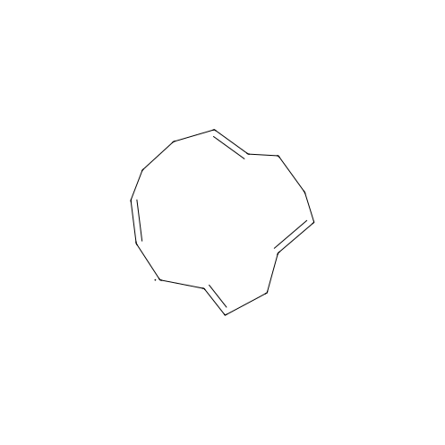 [CH]1/C=C\CC/C=C/CC/C=C/C/C=C/1